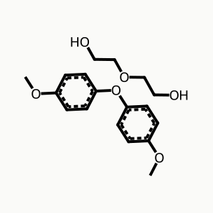 COc1ccc(Oc2ccc(OC)cc2)cc1.OCCOCCO